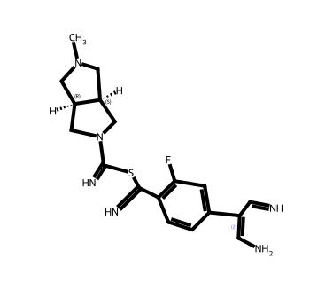 CN1C[C@@H]2CN(C(=N)SC(=N)c3ccc(/C(C=N)=C/N)cc3F)C[C@@H]2C1